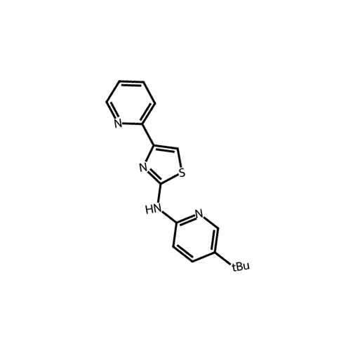 CC(C)(C)c1ccc(Nc2nc(-c3ccccn3)cs2)nc1